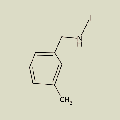 Cc1cccc(CNI)c1